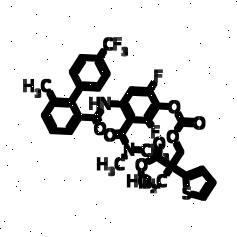 CCC(C)OC(=O)C(COC(=O)Oc1c(F)cc(NC(=O)c2cccc(C)c2-c2ccc(C(F)(F)F)cc2)c(C(=O)N(C)C)c1F)(C(=O)O)c1cccs1